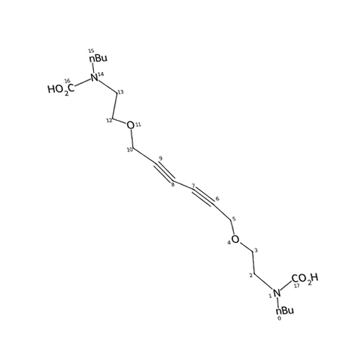 CCCCN(CCOCC#CC#CCOCCN(CCCC)C(=O)O)C(=O)O